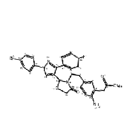 COC(=O)Cc1cc(CCN2C(=O)COC2c2cn(-c3ccc(Br)cc3)nc2C2=CCC(F)C=C2)ccc1N